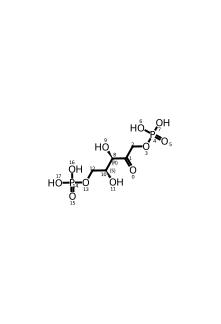 O=C(COP(=O)(O)O)[C@H](O)[C@@H](O)COP(=O)(O)O